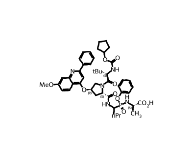 CCCC(NC(=O)[C@@H]1C[C@@H](Oc2cc(-c3ccccc3)nc3cc(OC)ccc23)CN1C(=O)[C@@H](NC(=O)OC1CCCC1)C(C)(C)C)P(=O)(N[C@@H](C)C(=O)O)Oc1ccccc1